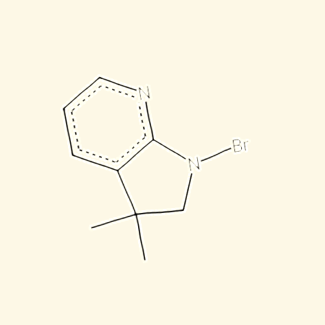 CC1(C)CN(Br)c2ncccc21